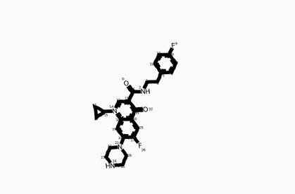 O=C(NCCc1ccc(F)cc1)c1cn(C2CC2)c2cc(N3CCNCC3)c(F)cc2c1=O